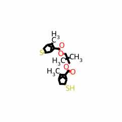 CC1C2CC(S)C(C2)C1C(=O)OCC(C)(C)COC(=O)C1C(C)C2CC1C1SC21